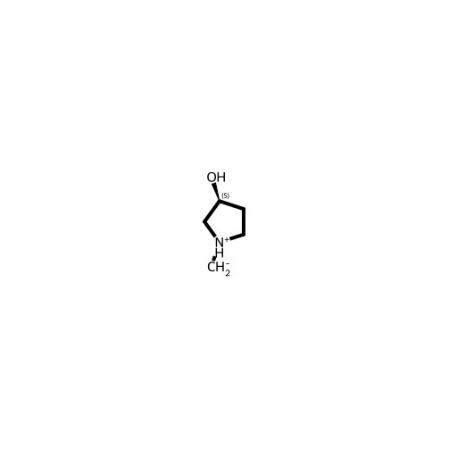 [CH2-][NH+]1CC[C@H](O)C1